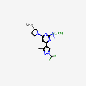 CN[C@@H]1CCN(c2cc(-c3cn(C(F)F)nc3C)nc(N)n2)C1.Cl.Cl